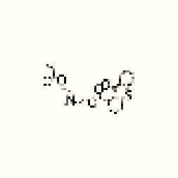 C=CC(=O)OCCN(C)CCOC(=O)c1cccc2sc3ccccc3c(=O)c12